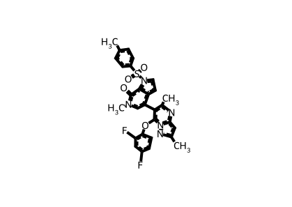 Cc1ccc(S(=O)(=O)n2ccc3c(-c4c(C)nc5cc(C)nn5c4Oc4ccc(F)cc4F)cn(C)c(=O)c32)cc1